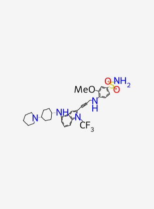 COc1cc(S(N)(=O)=O)ccc1NCC#Cc1cc2c(N[C@H]3CC[C@@H](N4CCCCC4)CC3)cccc2n1CC(F)(F)F